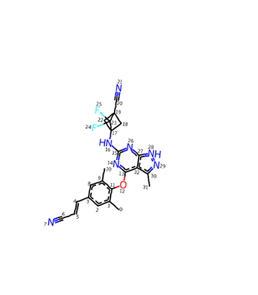 Cc1cc(/C=C/C#N)cc(C)c1Oc1nc(NC23CC(C#N)(C2)C3(F)F)nc2[nH]nc(C)c12